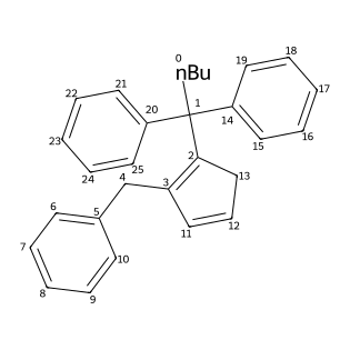 CCCCC(C1=C(Cc2ccccc2)C=CC1)(c1ccccc1)c1ccccc1